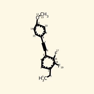 CCc1ccc(C#Cc2ccc(OC)cc2)c(F)c1F